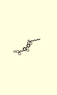 CCCCCCCC(=O)N(C)Cc1cccc(-c2ccc(CCC(=O)O)cc2OC)c1